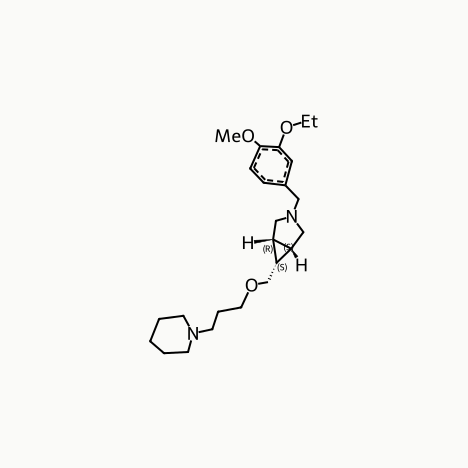 CCOc1cc(CN2C[C@@H]3[C@H](COCCCN4CCCCC4)[C@@H]3C2)ccc1OC